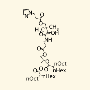 CCCCCCCCC(CCCCCC)C(=O)OCC(COC(=O)CCNC(=O)[C@H](O)C(C)(C)COC(=O)CCn1cccn1)OC(=O)C(CCCCCC)CCCCCCCC